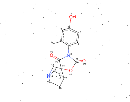 Cc1cc(O)ccc1N1C(=O)OC2(CN3CCC2CC3)C1=O